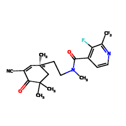 CN(CC[C@]1(C)C=C(C#N)C(=O)C(C)(C)C1)C(=O)c1ccnc(C(F)(F)F)c1F